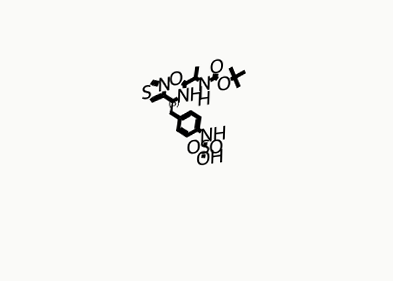 CC(NC(=O)OC(C)(C)C)C(=O)N[C@@H](Cc1ccc(NS(=O)(=O)O)cc1)c1cscn1